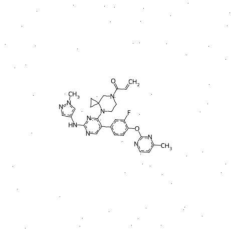 C=CC(=O)N1CCN(c2nc(Nc3cnn(C)c3)ncc2-c2ccc(Oc3nccc(C)n3)c(F)c2)C2(CC2)C1